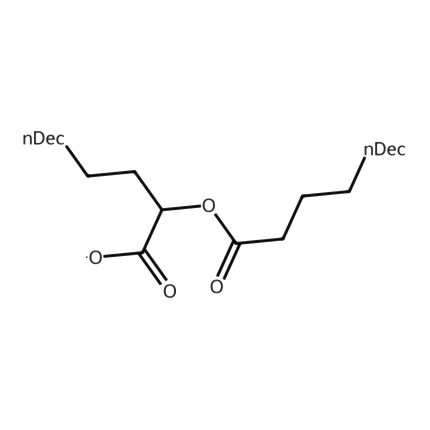 CCCCCCCCCCCCCC(=O)OC(CCCCCCCCCCCC)C([O])=O